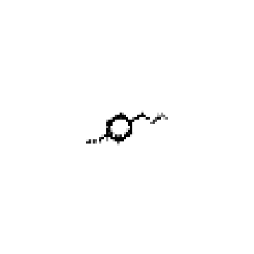 CC(=O)[Se]Cc1ccc(C=O)cc1